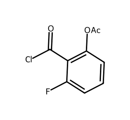 CC(=O)Oc1cccc(F)c1C(=O)Cl